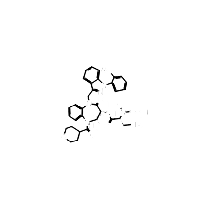 C[C@H]1[C@H](NC(=O)[C@H](CC(C)(C)C)N(C)C(=O)O)C(=O)N(Cc2nn(-c3ccccc3C#N)c3ccccc23)c2ccccc2N1C(=O)C1CCOCC1